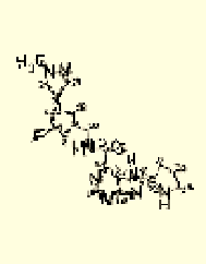 Cn1cc(-c2cc(F)cc(CNC(=O)c3ncnc4nc([C@@H]5CCCN5)[nH]c34)c2)cn1